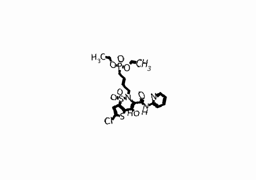 CCOP(=O)(C/C=C/CN1C(C(=O)Nc2ccccn2)=C(O)c2sc(Cl)cc2S1(=O)=O)OCC